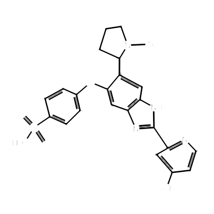 CC(=O)N1CCCC1c1cc2[nH]c(-c3cc(Cl)ccn3)nc2cc1Oc1ccc(S(C)(=O)=O)cc1